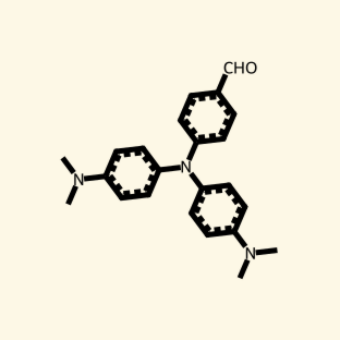 CN(C)c1ccc(N(c2ccc(C=O)cc2)c2ccc(N(C)C)cc2)cc1